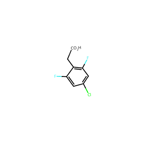 O=C(O)Cc1c(F)cc(Cl)cc1F